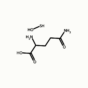 NC(=O)CCC(N)C(=O)O.OS